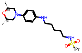 CC(C)S(=O)(=O)NCCCCCNc1ccc(N2C[C@@H](C)O[C@@H](C)C2)cc1